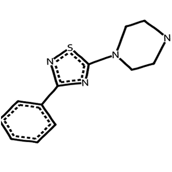 c1ccc(-c2nsc(N3CC[N]CC3)n2)cc1